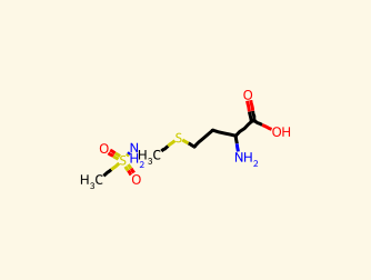 CS(N)(=O)=O.CSCCC(N)C(=O)O